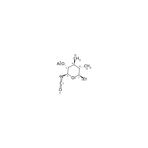 CC[C@H]1O[C@@H](N=C=O)[C@H](OC(C)=O)[C@@H](C)[C@@H]1C